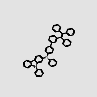 c1ccc(C(=C(c2ccccc2)c2cccc(-c3ccc(N(c4ccccc4)c4ccc5c6ccccc6n(-c6ccccc6)c5c4)cc3)c2)c2ccccc2)cc1